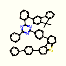 CC1(C)c2ccccc2-c2cc(-c3ccccc3-c3nc(-c4ccccc4)nc(-c4ccc(-c5cccc6sc7ccc(-c8ccc(-c9ccccc9)cc8)cc7c56)cc4)n3)ccc21